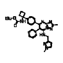 Cc1nc2nc(-c3ccc(C4(NC(=O)OC(C)(C)C)CCC4)cc3)c(-c3ccccc3)c(NCc3ccn(C)n3)n2n1